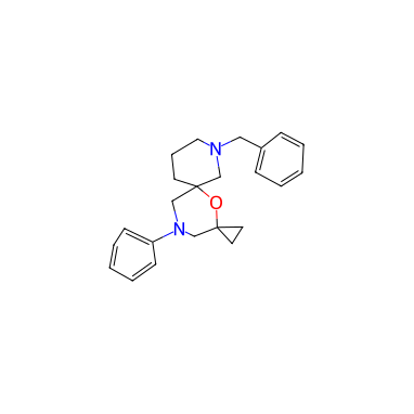 c1ccc(CN2CCCC3(C2)CN(c2ccccc2)CC2(CC2)O3)cc1